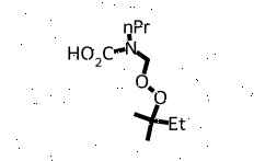 CCCN(COOC(C)(C)CC)C(=O)O